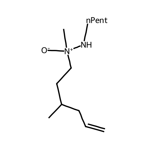 C=CCC(C)CC[N+](C)([O-])NCCCCC